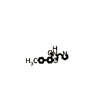 Cc1ccc(-c2ccc3c(c2)C(=O)NC(Cc2ccccn2)CO3)cc1